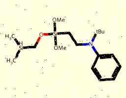 CO[Si](CCN(c1ccccc1)C(C)(C)C)(OC)OC[SiH](C)C